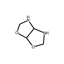 C1NC2NCOC2O1